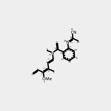 C=C/C(OC)=C(C)\C=C\N(C)C(=C)c1ccccc1/N=C(\C)C#N